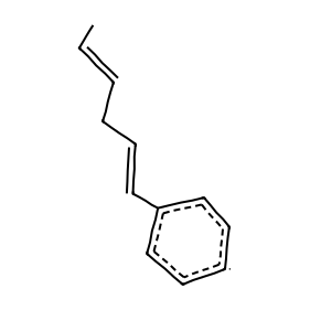 CC=CCC=Cc1cc[c]cc1